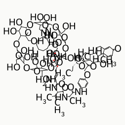 CCC[C@@H]1O[C@@H]2C[C@H]3[C@@H]4CCC5=CC(=O)C=C[C@]5(C)[C@H]4[C@@H](O)C[C@]3(C)[C@]2(C(=O)COc2ccc(NC(=O)[C@H](C)NC(=O)[C@@H](NC(=O)[C@H](N)CCCCNC(=O)COC3CCCCCc4c3nnn4CC3OC4OC5C(CO)OC(OC6C(CO)OC(OC7C(CO)OC(OC8C(CO)OC(OC9C(CO)OC(OC3C(O)C4O)C(O)C9O)C(O)C8O)C(O)C7O)C(O)C6O)C(O)C5O)C(C)C)cc2)O1